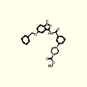 CC(C)(C)OC(=O)N1CCN(c2cccc(C(=O)Nc3n[nH]c4ccc(OCc5ccccc5)cc34)c2)CC1